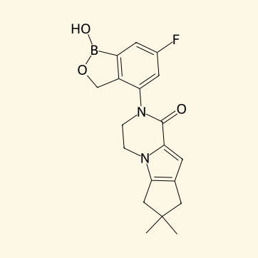 CC1(C)Cc2cc3n(c2C1)CCN(c1cc(F)cc2c1COB2O)C3=O